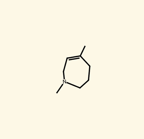 CC1=CCN(C)CCC1